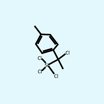 Cc1ccc(C(C)(Cl)[Si](Cl)(Cl)Cl)cc1